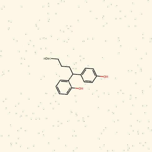 CCCCCCCCCCCCCC(c1ccc(O)cc1)c1ccccc1O